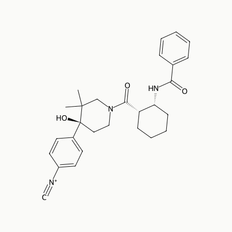 [C-]#[N+]c1ccc([C@@]2(O)CCN(C(=O)[C@H]3CCCC[C@H]3NC(=O)c3ccccc3)CC2(C)C)cc1